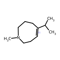 CC(C)/C1=C/CCN(C)CCC1